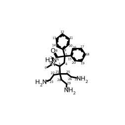 CN(C)C(CC(C(N)=O)(c1ccccc1)c1ccccc1)C(CCN)(CCN)CCN